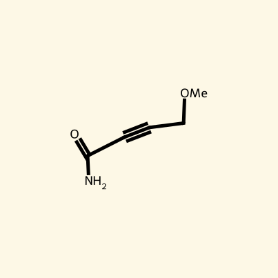 COCC#CC(N)=O